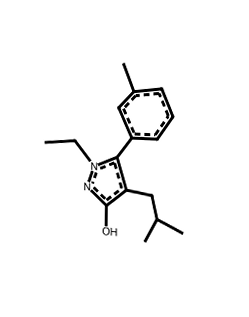 CCn1nc(O)c(CC(C)C)c1-c1cccc(C)c1